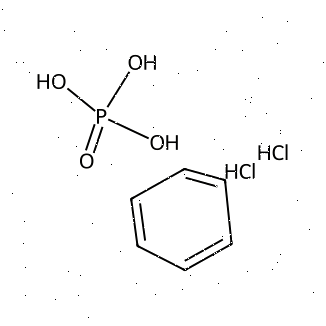 Cl.Cl.O=P(O)(O)O.c1ccccc1